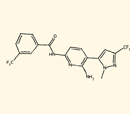 Cn1nc(C(F)(F)F)cc1-c1ccc(NC(=O)c2cccc(C(F)(F)F)c2)nc1N